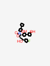 O=C1O[C@H](CC[C@H](O)c2ccc(F)cc2)[C@@H](c2ccc(-c3cccc(O)c3)cc2O)N1c1ccc(-c2ccccc2)cc1